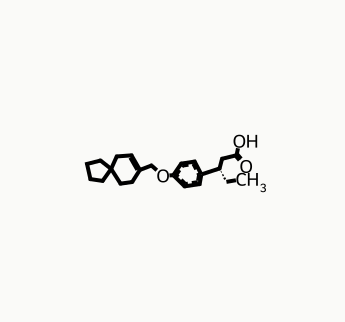 CC[C@@H](CC(=O)O)c1ccc(OCC2=CCC3(CCCC3)CC2)cc1